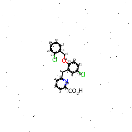 O=C(O)c1cccc(Cc2cc(Cl)ccc2OCc2ccccc2Cl)n1